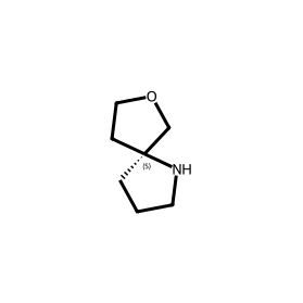 C1CN[C@@]2(C1)CCOC2